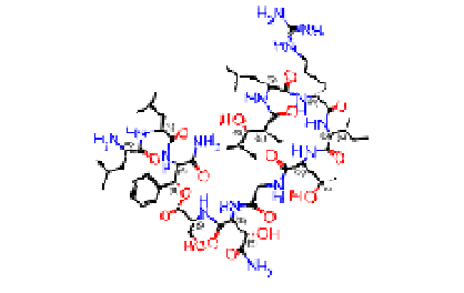 CC[C@H](C)[C@H](NC(=O)[C@@H](CCCNC(=N)N)NC(=O)[C@H](CC(C)C)NC(=O)[C@@H](C)[C@H](O)C(C)C)C(=O)N[C@H](C(=O)NCC(=O)N[C@H](C(=O)N[C@@H](CO)C(=O)O[C@H](c1ccccc1)[C@H](NC(=O)[C@H](CC(C)C)NC(=O)[C@H](N)CC(C)C)C(N)=O)[C@H](O)C(N)=O)[C@H](C)O